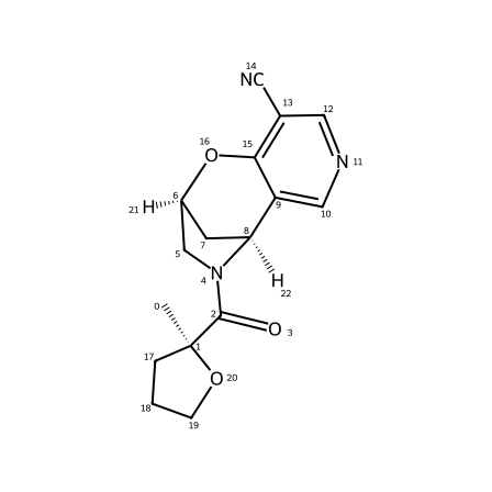 C[C@@]1(C(=O)N2C[C@@H]3C[C@H]2c2cncc(C#N)c2O3)CCCO1